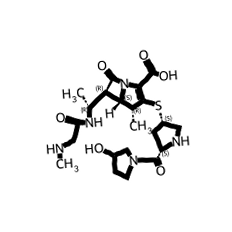 CNCC(=O)N[C@H](C)[C@H]1C(=O)N2C(C(=O)O)=C(S[C@@H]3CN[C@H](C(=O)N4CCC(O)C4)C3)[C@H](C)[C@H]12